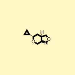 C1O[C@H](C2CC2)C[C@H]2CON=C12